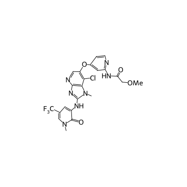 COCC(=O)Nc1cc(Oc2cnc3nc(Nc4cc(C(F)(F)F)cn(C)c4=O)n(C)c3c2Cl)ccn1